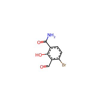 NC(=O)c1ccc(Br)c(C=O)c1O